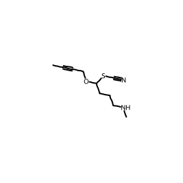 CC#CCOC(CCCNC)SC#N